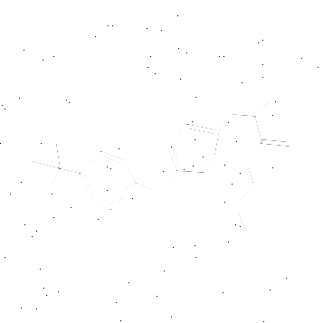 CSCOC(=O)C(C)Oc1ccc(Oc2ccc(C(F)(F)F)cc2)cc1